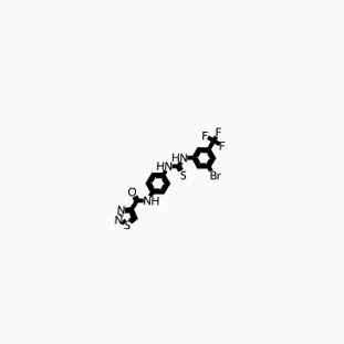 O=C(Nc1ccc(NC(=S)Nc2cc(Br)cc(C(F)(F)F)c2)cc1)c1csnn1